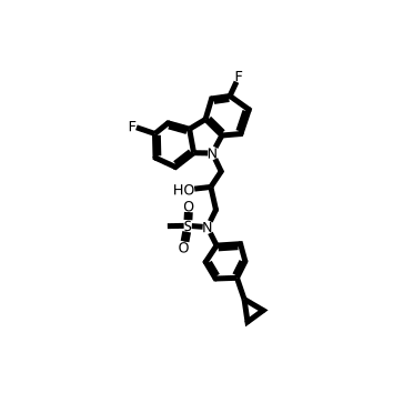 CS(=O)(=O)N(CC(O)Cn1c2ccc(F)cc2c2cc(F)ccc21)c1ccc(C2CC2)cc1